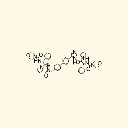 O=C(NCc1ccc(-c2ccc(-c3cnc([C@@H]4CCCN4C(=O)[C@H](NC(=O)N4CCOCC4)c4ccccc4)[nH]3)cc2)cc1)[C@@H]1CCCN1C(=O)[C@H](NC(=O)N1CCOCC1)c1ccccc1